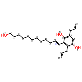 C=CCc1cc(O)c(CC=C)c(/C=C/CCCCCCCCCCO)c1O